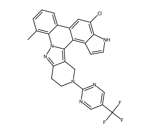 Cc1cccc2c3cc(Cl)c4[nH]ccc4c3c3c4c(nn3c12)CCN(c1ncc(C(F)(F)F)cn1)C4